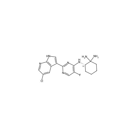 NC1(N)CCCC[C@@H]1Nc1nc(-c2c[nH]c3ncc(Cl)cc23)ncc1F